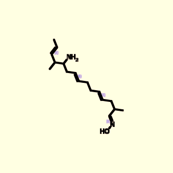 C/C=C/C(C)C(N)C/C=C/CC/C=C/CC(C)/C=N/O